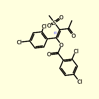 CC(=O)/C(=C(\OC(=O)c1ccc(Cl)cc1Cl)c1ccc(Cl)cc1Cl)S(C)(=O)=O